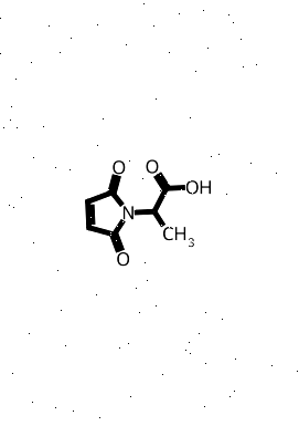 CC(C(=O)O)N1C(=O)C=CC1=O